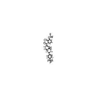 O=C(c1cccc(OC(F)F)c1Cl)N1CCN2C[C@@H](c3ccc(C(F)(F)F)cn3)CC[C@@H]2C1